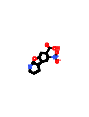 O=C(O)c1cc2oc3ncccc3c2cc1[N+](=O)[O-]